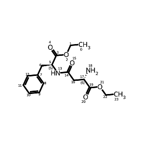 CCOC(=O)[C@H](Cc1ccccc1)NC(=O)C[C@H](N)C(=O)OCC